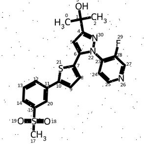 CC(C)(O)c1cc(-c2ccc(-c3cccc(S(C)(=O)=O)c3)s2)n(-c2ccncc2F)n1